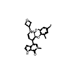 Cc1cc(F)cc(C)c1O/C(C=O)=C(/C=C\NC1COC1)c1cn(C)c(=O)c2[nH]ccc12